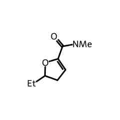 CCC1CC=C(C(=O)NC)O1